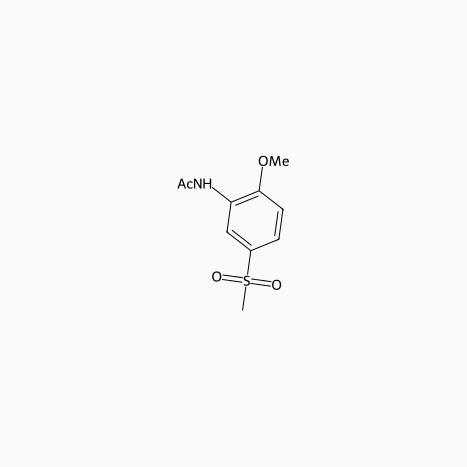 COc1ccc(S(C)(=O)=O)cc1NC(C)=O